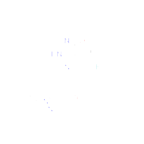 CC1Nc2nc(C3=CC(c4cnn(C5CC5)c4)OCC3)cc(-c3ccc(F)cc3F)c2C(=O)N1C